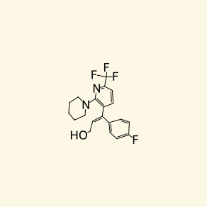 OCC=C(c1ccc(F)cc1)c1ccc(C(F)(F)F)nc1N1CCCCC1